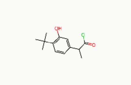 CC(C(=O)Cl)c1ccc(C(C)(C)C)c(O)c1